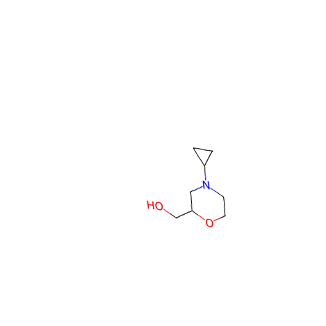 OCC1CN(C2CC2)CCO1